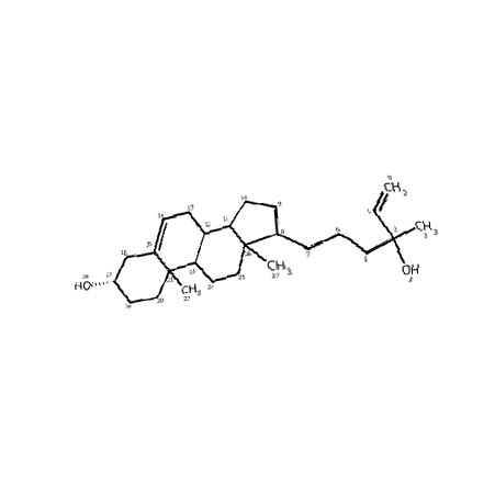 C=CC(C)(O)CCCC1CCC2C3CC=C4C[C@@H](O)CCC4(C)C3CCC12C